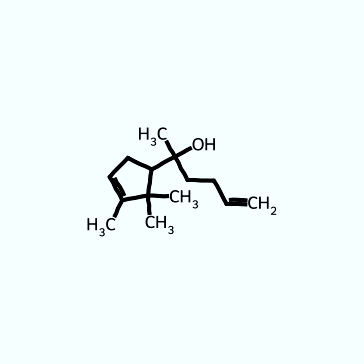 C=CCCC(C)(O)C1CC=C(C)C1(C)C